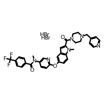 Br.Br.CN(C(=O)c1ccc(C(F)(F)F)cc1)c1ccc(Oc2ccc3c(c2)cc(C(=O)N2CCN(Cc4ccncc4)CC2)n3C)nc1